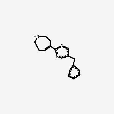 C1=C(c2ncc(Cc3ccccc3)cn2)CCNCC1